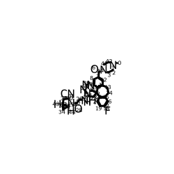 CN1CCN(C(=O)c2ccc3c(c2)CCc2cc(F)ccc2C3(CCNCC(=O)N2C(C#N)C[C@@H]3C[C@@H]32)c2nnn[nH]2)CC1